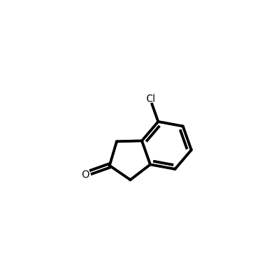 O=C1Cc2cccc(Cl)c2C1